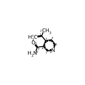 C=C(C)c1ccncc1C(N)=O